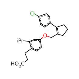 CC(C)c1cc(OCC2=C(c3ccc(Cl)cc3)CCC2)ccc1CCC(=O)O